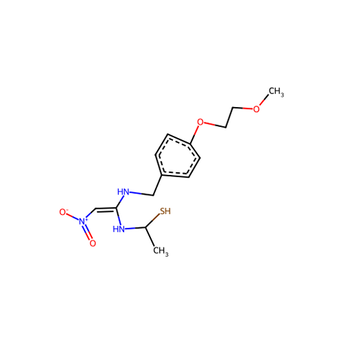 COCCOc1ccc(CNC(=C[N+](=O)[O-])NC(C)S)cc1